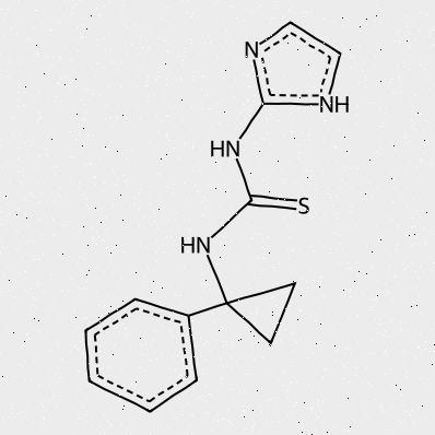 S=C(Nc1ncc[nH]1)NC1(c2ccccc2)CC1